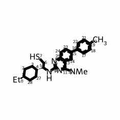 CC[C@H]1CC[C@H](C(CS)Nc2nc(NC)c3cc(-c4ccc(C)cc4)ccc3n2)CC1